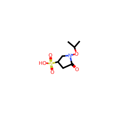 CC(C)ON1CC(S(=O)(=O)O)CC1=O